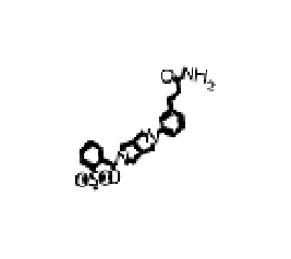 CS(=O)(=O)c1ccccc1C(=O)N1CC2CN(c3cccc(CCC(N)=O)c3)CC2C1